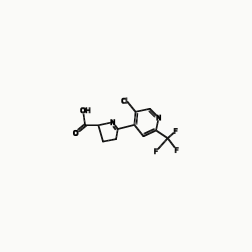 O=C(O)C1CCC(c2cc(C(F)(F)F)ncc2Cl)=N1